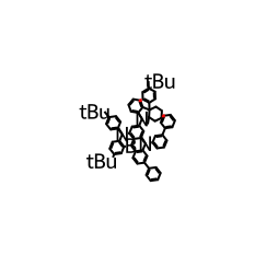 CC(C)(C)c1ccc(N2c3ccc(C(C)(C)C)cc3B3c4ccc(-c5ccccc5)cc4N(c4cccc(-c5ccccc5)c4)c4cc(N5c6ccccc6C6(c7ccc(C(C)(C)C)cc7)CCCCC56C)cc2c43)cc1